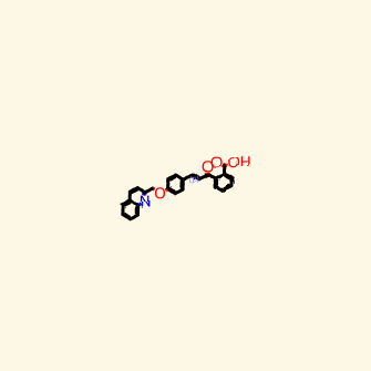 O=C(O)c1ccccc1C(=O)/C=C/c1ccc(OCc2ccc3ccccc3n2)cc1